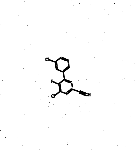 C#Cc1[c]c(Cl)c(F)c(-c2cccc(Cl)c2)c1